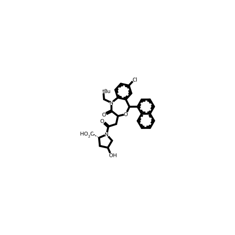 CC(C)(C)CN1C(=O)C(CC(=O)N2CC(O)C[C@@H]2C(=O)O)OC(c2cccc3ccccc23)c2cc(Cl)ccc21